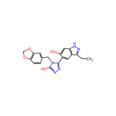 CCc1n[nH]c2cc(O)c(-c3nnc(O)n3Cc3ccc4c(c3)OCO4)cc12